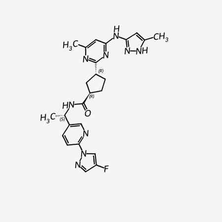 Cc1cc(Nc2cc(C)[nH]n2)nc([C@@H]2CC[C@@H](C(=O)N[C@@H](C)c3ccc(-n4cc(F)cn4)nc3)C2)n1